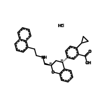 Cl.O=C(O)c1cc([C@H]2C[C@H](CNCCc3cccc4ccccc34)Oc3ccccc32)ccc1C1CC1